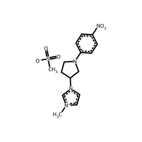 CS(=O)(=O)[O-].C[n+]1ccn(C2CCN(c3ccc([N+](=O)[O-])cc3)C2)c1